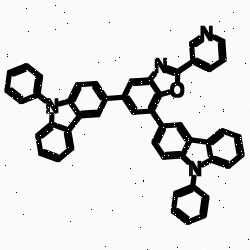 c1ccc(-n2c3ccccc3c3cc(-c4cc(-c5ccc6c(c5)c5ccccc5n6-c5ccccc5)c5oc(-c6cccnc6)nc5c4)ccc32)cc1